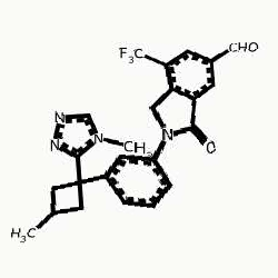 CC1CC(c2cccc(N3Cc4c(cc(C=O)cc4C(F)(F)F)C3=O)c2)(c2nncn2C)C1